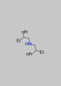 CCCC(CC)CNCC(CC)CCC